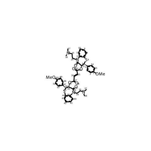 COc1ccc([C@@H]2Sc3ccccc3N(CCN(C)C)C(=O)[C@@H]2OC(=O)C=CC(=O)O[C@H]2C(=O)N(CCN(C)C)c3ccccc3S[C@H]2c2ccc(OC)cc2)cc1